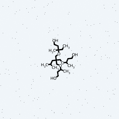 CCC(C)(CCO)OCC(COC(C)CCO)(COC(C)CCO)CC(C)C